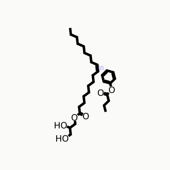 CCCC(=O)Oc1ccccc1.CCCCCCCC/C=C\CCCCCCCC(=O)OCC(O)CO